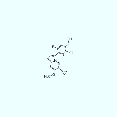 COc1cc2ncc(-c3nc(Cl)c(CO)cc3F)n2nc1C1CC1